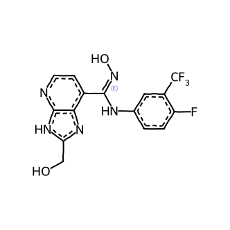 OCc1nc2c(/C(=N\O)Nc3ccc(F)c(C(F)(F)F)c3)ccnc2[nH]1